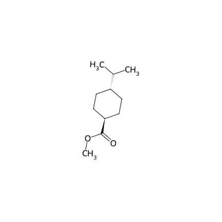 COC(=O)[C@H]1CC[C@H](C(C)C)CC1